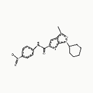 Cc1nn(C2CCCCC2)c2sc(C(=O)Nc3ccc([N+](=O)[O-])cc3)cc12